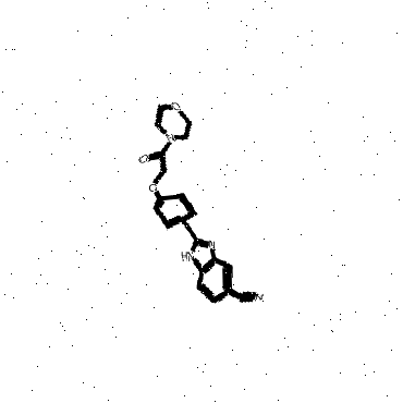 N#Cc1ccc2[nH]c(-c3ccc(OCC(=O)N4CCOCC4)cc3)nc2c1